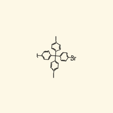 Brc1ccc(C(c2ccc(I)cc2)(c2ccc(I)cc2)c2ccc(I)cc2)cc1